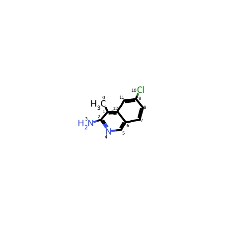 Cc1c(N)ncc2ccc(Cl)cc12